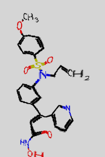 C=CCN(c1cccc(C(=CC(=O)NO)c2cccnc2)c1)S(=O)(=O)c1ccc(OC)cc1